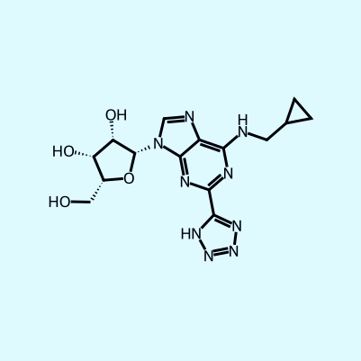 OC[C@H]1O[C@@H](n2cnc3c(NCC4CC4)nc(-c4nnn[nH]4)nc32)[C@@H](O)[C@H]1O